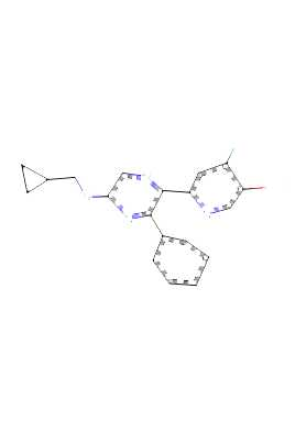 Oc1cnc(-c2ncc(NCC3CC3)nc2-c2ccccc2)cc1Cl